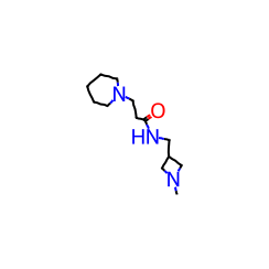 CN1CC(CNC(=O)CCN2CCCCC2)C1